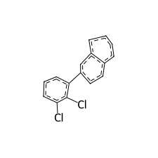 Clc1cccc(-c2ccc3ccccc3c2)c1Cl